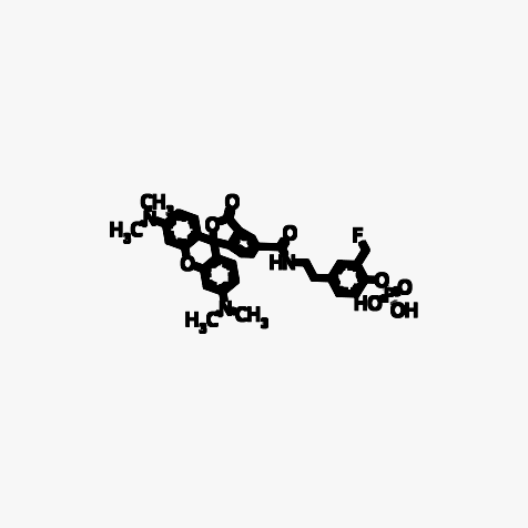 CN(C)c1ccc2c(c1)Oc1cc(N(C)C)ccc1C21OC(=O)c2cc(C(=O)NCCc3ccc(OP(=O)(O)O)c(CF)c3)ccc21